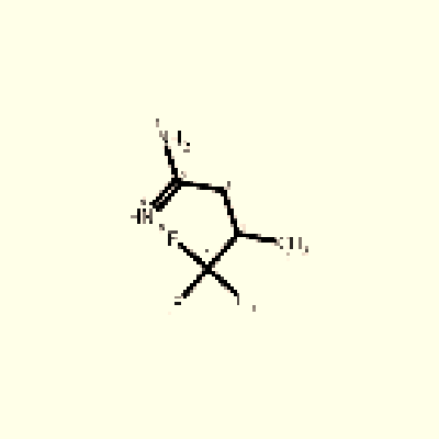 CC(CC(=N)N)C(F)(F)F